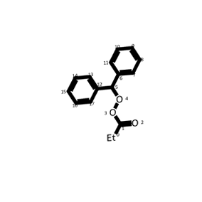 CCC(=O)OOC(c1ccccc1)c1ccccc1